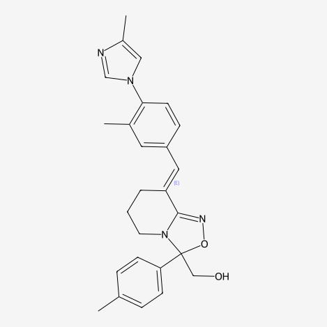 Cc1ccc(C2(CO)ON=C3/C(=C/c4ccc(-n5cnc(C)c5)c(C)c4)CCCN32)cc1